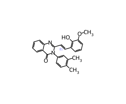 COc1cccc(/C=C/c2nc3ccccc3c(=O)n2-c2ccc(C)c(C)c2)c1O